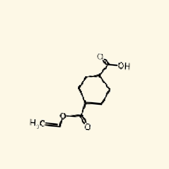 C=COC(=O)C1CCC(C(=O)O)CC1